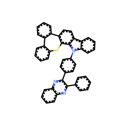 c1ccc(-c2nc3ccccc3nc2-c2ccc(-n3c4ccccc4c4ccc5c(c43)Sc3ccccc3-c3ccccc3-5)cc2)cc1